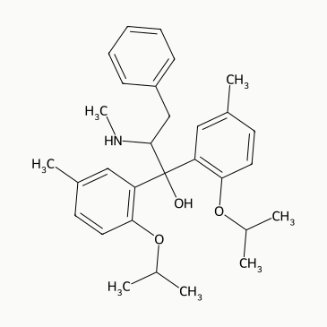 CNC(Cc1ccccc1)C(O)(c1cc(C)ccc1OC(C)C)c1cc(C)ccc1OC(C)C